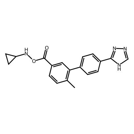 Cc1ccc(C(=O)ONC2CC2)cc1-c1ccc(-c2nnc[nH]2)cc1